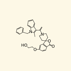 C=C(c1c(C)n(Cc2ccccc2)c2ccccc12)N1CCC2(CC1)OC(=O)c1ccc(OCCO)cc12